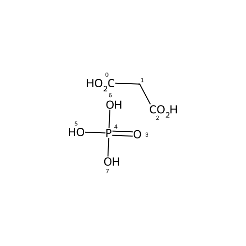 O=C(O)CC(=O)O.O=P(O)(O)O